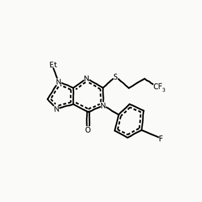 CCn1cnc2c(=O)n(-c3ccc(F)cc3)c(SCCC(F)(F)F)nc21